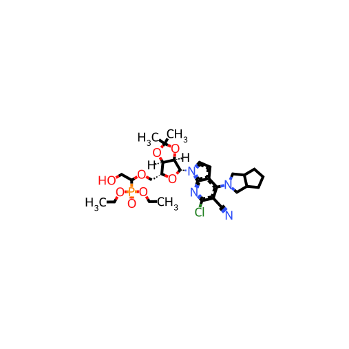 CCOP(=O)(OCC)C(CO)OC[C@H]1O[C@@H](n2ccc3c(N4CC5CCCC5C4)c(C#N)c(Cl)nc32)[C@@H]2OC(C)(C)O[C@@H]21